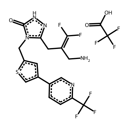 NCC(Cc1n[nH]c(=O)n1Cc1cc(-c2ccc(C(F)(F)F)nc2)cs1)=C(F)F.O=C(O)C(F)(F)F